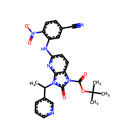 CC(c1cccnc1)n1c(=O)n(C(=O)OC(C)(C)C)c2ccc(Nc3cc(C#N)ccc3[N+](=O)[O-])nc21